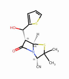 CC1(C)S[C@@H]2[C@@H](C(O)c3cccs3)C(=O)N2[C@H]1C#N